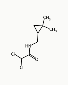 CC1(C)CC1CNC(=O)C(Cl)Cl